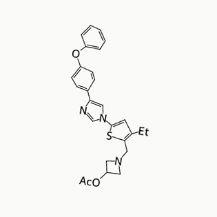 CCc1cc(-n2cnc(-c3ccc(Oc4ccccc4)cc3)c2)sc1CN1CC(OC(C)=O)C1